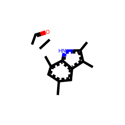 CC.CC=O.Cc1cc(C)c2[nH]c(C)c(C)c2c1